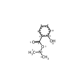 CN(C)OC(=O)c1ccccc1O